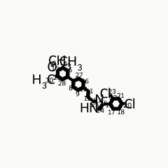 COc1c(C)cc(-c2ccc(/C=C/c3nc(-c4ccc(Cl)cc4Cl)c[nH]3)cc2)cc1C